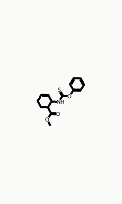 COC(=O)C1CCC=CC1NC(=S)Oc1ccccc1